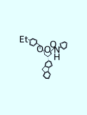 CCc1ccc(CO[C@H]2C[C@@H](c3ccc4c(c3)Cc3ccccc3-4)C=C(C(=O)Nc3ccccc3)O2)cc1